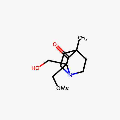 COCC1(CO)C(=O)C2(C)CCN1CC2